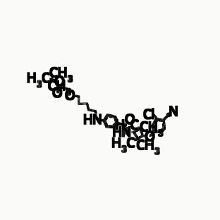 CC(C)(C)OC(=O)COCCCCCNc1ccc(C(=O)N[C@H]2C(C)(C)[C@H](Oc3ccc(C#N)c(Cl)c3)C2(C)C)cc1